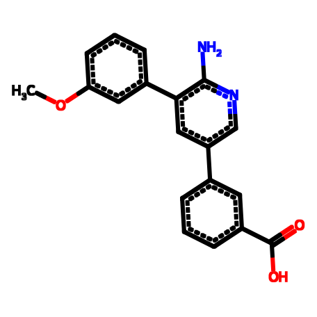 COc1cccc(-c2cc(-c3cccc(C(=O)O)c3)cnc2N)c1